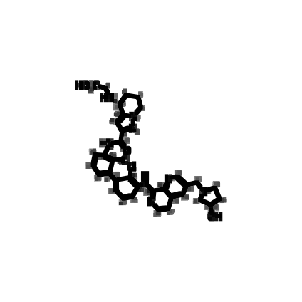 O=C(O)CN[C@@H]1CCCn2nc(C(=O)Nc3cccc(-c4cccc(Nc5nccc6cc(CN7CC[C@@H](O)C7)cnc56)c4Cl)c3Cl)cc21